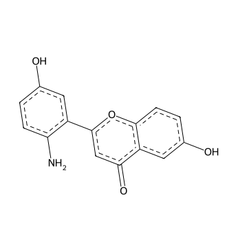 Nc1ccc(O)cc1-c1cc(=O)c2cc(O)ccc2o1